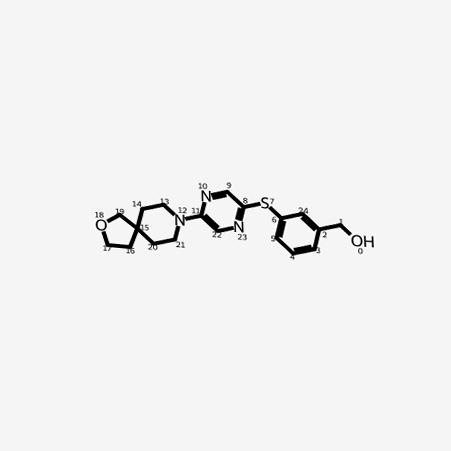 OCc1cccc(Sc2cnc(N3CCC4(CCOC4)CC3)cn2)c1